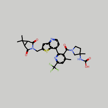 Cc1cc(C(F)(F)F)nc(-c2ccnc3cc(CN4C(=O)C5C(C4=O)C5(C)C)sc23)c1C(=O)N1CCC(C)(NC(=O)O)C1